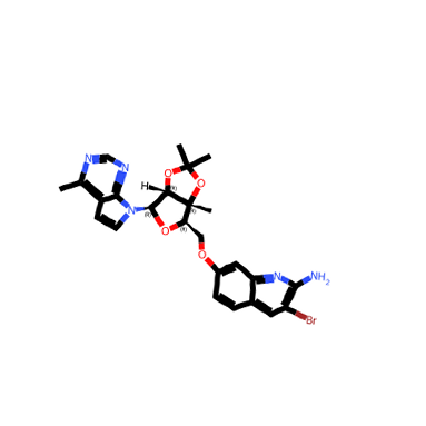 Cc1ncnc2c1ccn2[C@@H]1O[C@H](COc2ccc3cc(Br)c(N)nc3c2)[C@@]2(C)OC(C)(C)O[C@@H]12